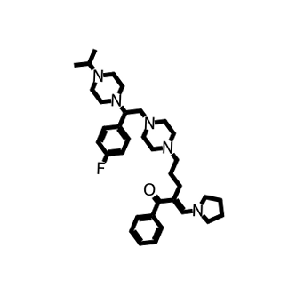 CC(C)N1CCN(C(CN2CCN(CCC/C(=C\N3CCCC3)C(=O)c3ccccc3)CC2)c2ccc(F)cc2)CC1